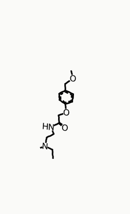 CCN(C)CCNC(=O)COc1ccc(COC)cc1